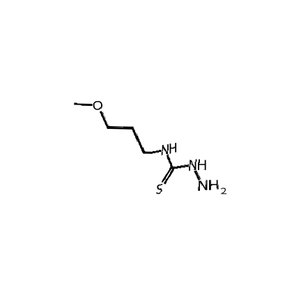 COCCCNC(=S)NN